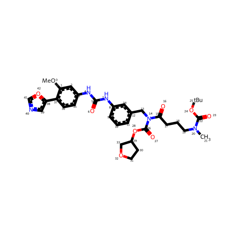 COc1cc(NC(=O)Nc2cccc(CN(C(=O)CCCN(C)C(=O)OC(C)(C)C)C(=O)OC3CCOC3)c2)ccc1-c1cnco1